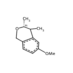 COc1ccc2c(c1)C(C)[C@@H](C)OC2